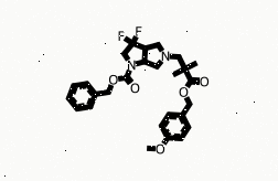 COc1ccc(COC(=O)C(C)(C)CN2CC3C(C2)C(F)(F)CN3C(=O)OCc2ccccc2)cc1